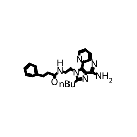 CCCCc1nc2c(N)nc3cccnc3c2n1CCNC(=O)CCc1ccccc1